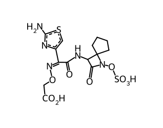 Nc1nc(/C(=N/OCC(=O)O)C(=O)NC2C(=O)N(OS(=O)(=O)O)C23CCCC3)cs1